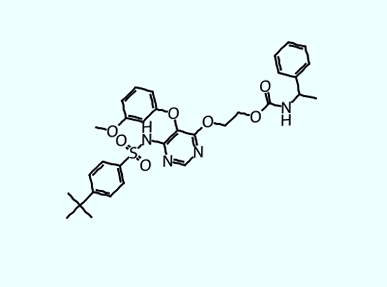 COc1cccc(Oc2c(NS(=O)(=O)c3ccc(C(C)(C)C)cc3)ncnc2OCCOC(=O)NC(C)c2ccccc2)c1